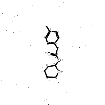 Cc1ccc(CC(=O)OC2CCCCO2)cc1